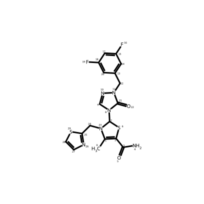 CC1=C(C(N)=O)SC(n2cnn(Cc3cc(F)cc(F)c3)c2=O)N1Cc1nccs1